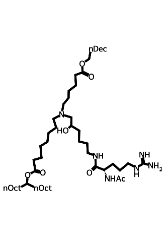 CCCCCCCCCCCOC(=O)CCCCCN(CCCCCCCC(=O)OC(CCCCCCCC)CCCCCCCC)CC(O)CCCCNC(=O)[C@H](CCCNC(=N)N)NC(C)=O